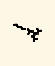 CC(C)[O][Al]([O]C(C)C)[O]C(C)C.CCCCCC